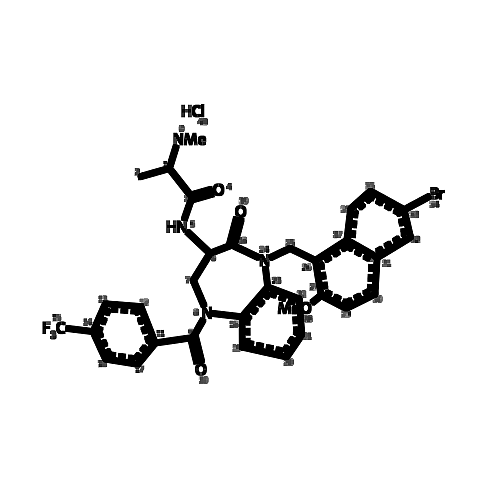 CNC(C)C(=O)NC1CN(C(=O)c2ccc(C(F)(F)F)cc2)c2ccccc2N(Cc2c(OC)ccc3cc(Br)ccc23)C1=O.Cl